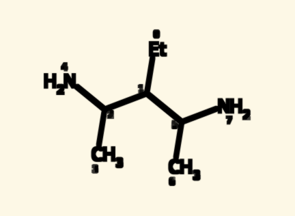 CCC(C(C)N)C(C)N